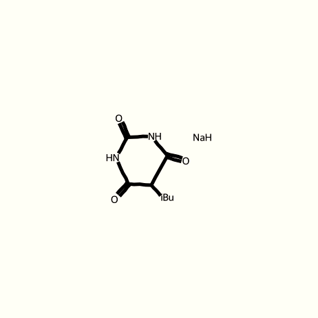 CCC(C)C1C(=O)NC(=O)NC1=O.[NaH]